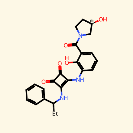 CCC(Nc1c(Nc2cccc(C(=O)N3CC[C@@H](O)C3)c2O)c(=O)c1=O)c1ccccc1